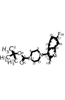 CC(C)(C)OC(=O)N1CCN(c2c(F)sc3cc(F)ccc23)CC1